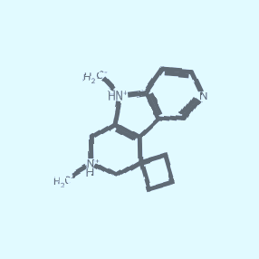 [CH2-][NH+]1CC2=C(c3cnccc3[NH+]2[CH2-])C2(CCC2)C1